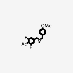 COc1ccc(CN(C)Cc2cc(F)c(C(C)=O)c(F)c2)cc1